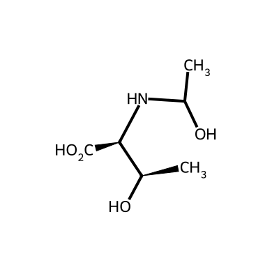 CC(O)N[C@H](C(=O)O)[C@@H](C)O